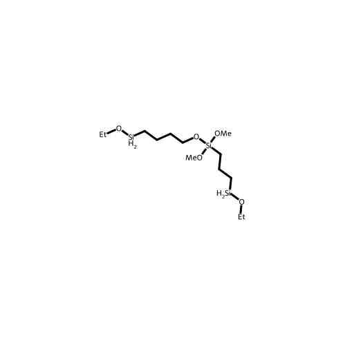 CCO[SiH2]CCCCO[Si](CCC[SiH2]OCC)(OC)OC